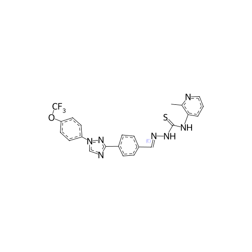 Cc1ncccc1NC(=S)N/N=C/c1ccc(-c2ncn(-c3ccc(OC(F)(F)F)cc3)n2)cc1